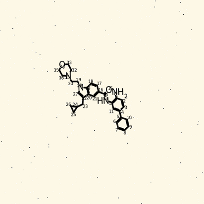 Nc1ccc(-c2ccccc2)cc1NC(=O)c1ccc2c(c1)c(CC1CC1)cn2CCN1CCOCC1